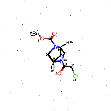 CC(C)(C)OC(=O)N1C[C@@H]2C[C@H]1CN2C(=O)CCl